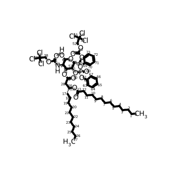 CCCCCCCCCCCCCC(=O)O[C@H](CCCCCCCCCCC)CC(=O)O[C@@H]1[C@@H](NC(=O)OCC(Cl)(Cl)Cl)[C@@H](O)O[C@H](COC(=O)OCC(Cl)(Cl)Cl)[C@H]1OP(=O)(Oc1ccccc1)Oc1ccccc1